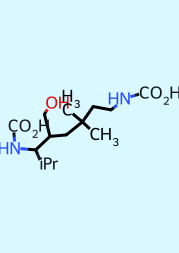 CC(C)C(NC(=O)O)C(CO)CC(C)(C)CCNC(=O)O